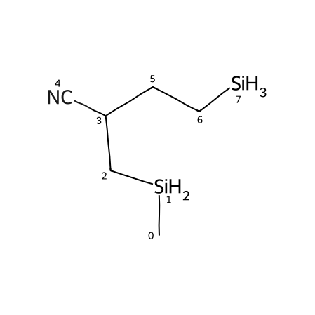 C[SiH2]CC(C#N)CC[SiH3]